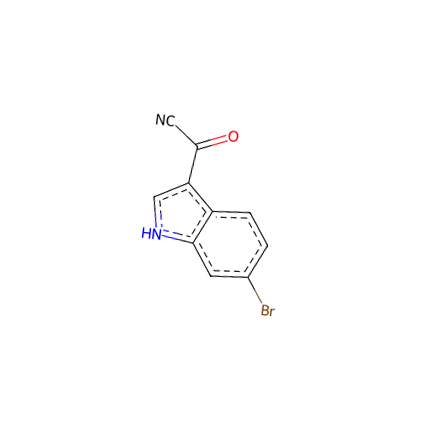 N#CC(=O)c1c[nH]c2cc(Br)ccc12